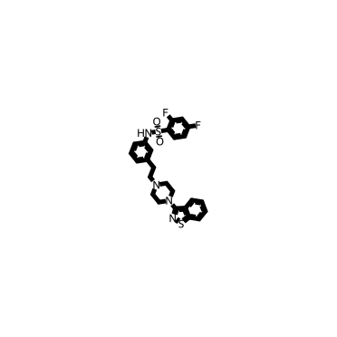 O=S(=O)(Nc1cccc(CCN2CCN(c3nsc4ccccc34)CC2)c1)c1ccc(F)cc1F